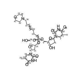 Cc1cn([C@H]2CC(O)[C@@H](COP(=O)(OC3C[C@H](n4cc(C)c(=O)[nH]c4=O)O[C@@H]3CO)SCCSSCCN3CCOCC3)O2)c(=O)[nH]c1=O